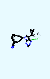 CC1(c2cn(-c3cccc(C#N)c3)c3ncnc(Cl)c23)CC1